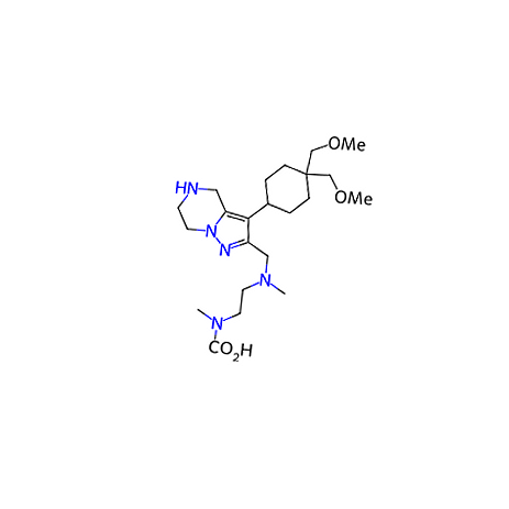 COCC1(COC)CCC(c2c(CN(C)CCN(C)C(=O)O)nn3c2CNCC3)CC1